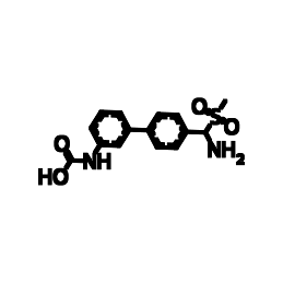 CS(=O)(=O)C(N)c1ccc(-c2cccc(NC(=O)O)c2)cc1